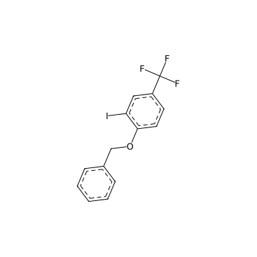 FC(F)(F)c1ccc(OCc2ccccc2)c(I)c1